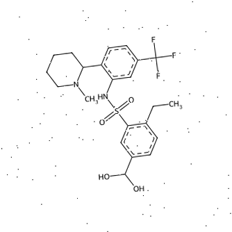 CCc1ccc(C(O)O)cc1S(=O)(=O)Nc1cc(C(F)(F)F)ccc1C1CCCCN1C